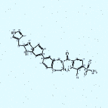 Cc1c(C(=O)N2CCOc3ccc(-c4ccc5nc(Cc6c[nH]cn6)[nH]c5c4)cc3C2)ccc(S(C)(=O)=O)c1F